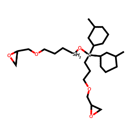 CC1CCCC([Si](CCCOCC2CO2)(O[SiH2]CCCOCC2CO2)C2CCCC(C)C2)C1